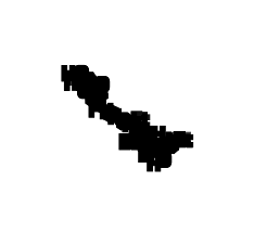 CCOc1cc(N2CCC(N3CCN(CCc4c(F)ccc5c4C(C)(C)C(=O)N5C4CCC(O)NC4=O)CC3)CC2)c(CC)cc1Nc1ncc(Br)c(Nc2ccc3nc(CC)ccc3c2P(C)(C)=O)n1